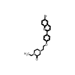 CCN1CCN(CCOc2ccc(-c3ccc4cc(Br)ccc4n3)cc2)CC1=O